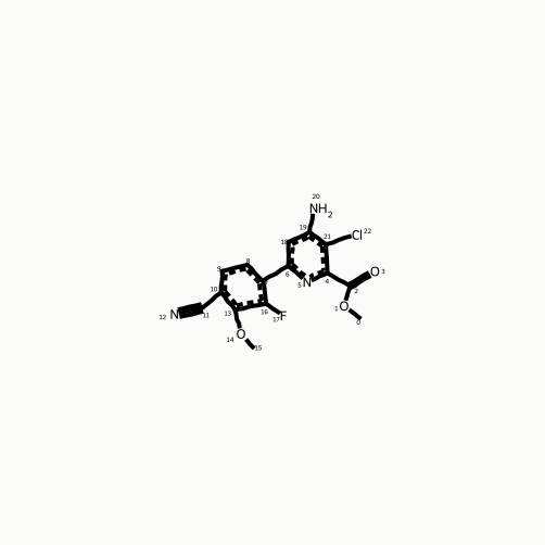 COC(=O)c1nc(-c2ccc(C#N)c(OC)c2F)cc(N)c1Cl